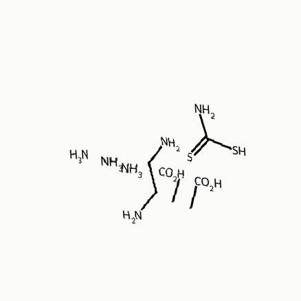 CC(=O)O.CC(=O)O.N.N.N.NC(=S)S.NCCN